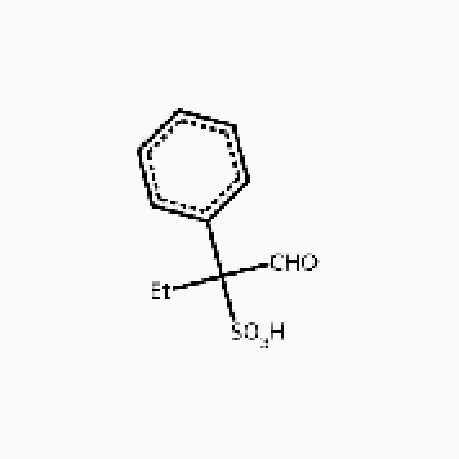 CCC([C]=O)(c1ccccc1)S(=O)(=O)O